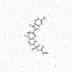 COC(=O)CS(=O)(=O)c1ccc(C(C)NC(=O)c2cc3cc(Cl)ccc3n2C)cc1